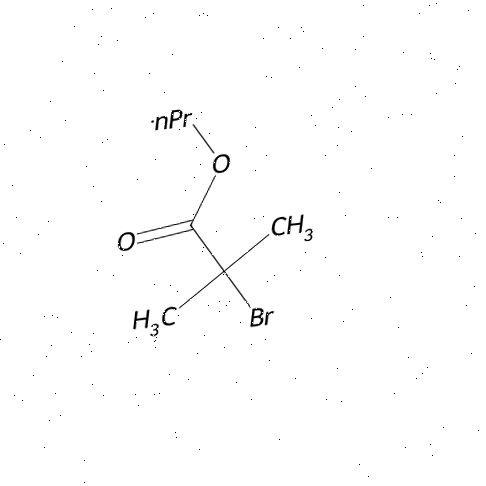 CC[CH]OC(=O)C(C)(C)Br